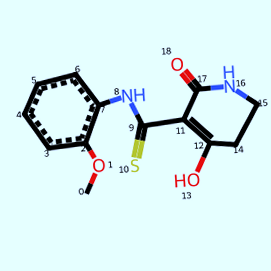 COc1ccccc1NC(=S)C1=C(O)CCNC1=O